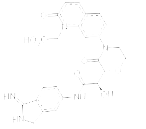 N=C1NCc2cc(NC(=O)[C@H](O)[C@H]3OCCN(c4ccc5ccc(=O)n(CC(=O)O)c5c4)C3=O)ccc21